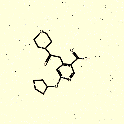 O=C(O)c1cnc(OC2CCCC2)cc1CC(=O)C1CCOCC1